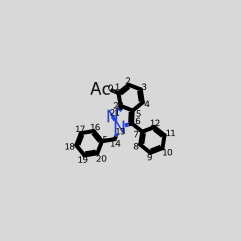 CC(=O)c1cccc2c(-c3ccccc3)n(Cc3ccccc3)nc12